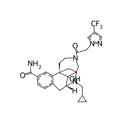 NC(=O)c1ccc2c(c1)[C@@]13CCN(C(=O)Cn4cc(C(F)(F)F)cn4)CC[C@@]1(O)[C@@H](C2)N(CC1CC1)CC3